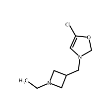 CCN1CC(CN2C=C(Cl)OC2)C1